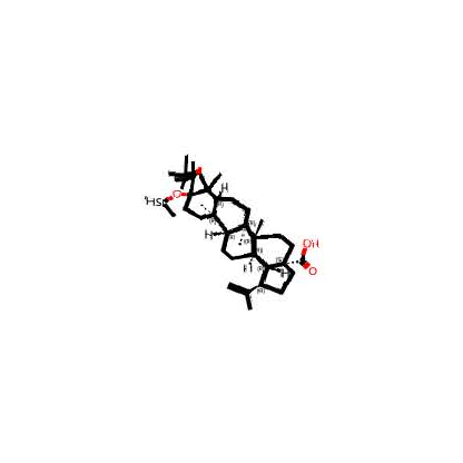 C=C(C)[C@@H]1CC[C@]2(C(=O)O)CC[C@]3(C)[C@H](CC[C@@H]4[C@@]5(C)CCC(O[SiH](C)C)(C(C)(C)C)C(C)(CC(C)(C)C)[C@@H]5CC[C@]43C)[C@@H]12